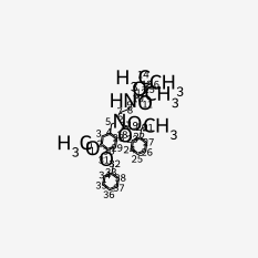 COc1cc(CN(CCNC(=O)OC(C)(C)C)C(=O)OC(C)c2ccccc2)ccc1OCc1ccccc1